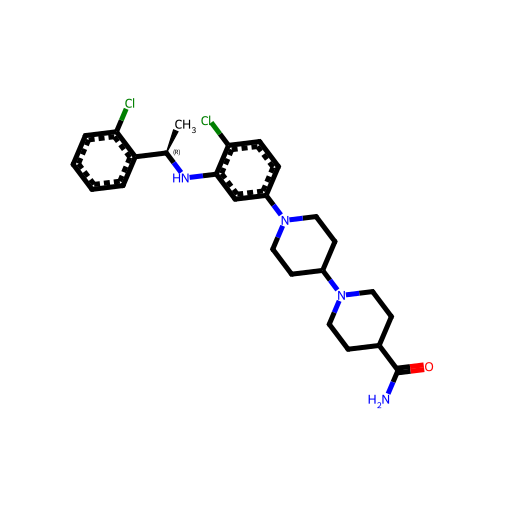 C[C@@H](Nc1cc(N2CCC(N3CCC(C(N)=O)CC3)CC2)ccc1Cl)c1ccccc1Cl